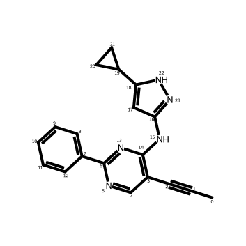 CC#Cc1cnc(-c2ccccc2)nc1Nc1cc(C2CC2)[nH]n1